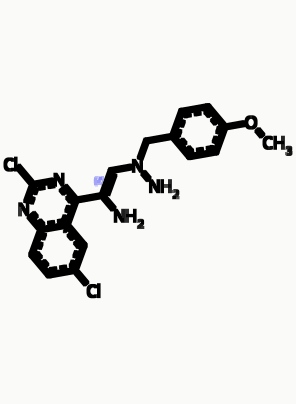 COc1ccc(CN(N)/C=C(\N)c2nc(Cl)nc3ccc(Cl)cc23)cc1